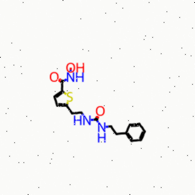 O=C(NCCc1ccccc1)NCCc1ccc(C(=O)NO)s1